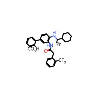 CC(C)C(Nc1ccc(-c2ccccc2C(=O)O)cc1NC(=O)Cc1ccccc1C(F)(F)F)C1CCCCC1